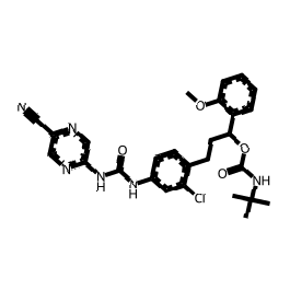 COc1ccccc1C(CCc1ccc(NC(=O)Nc2cnc(C#N)cn2)cc1Cl)OC(=O)NC(C)(C)C